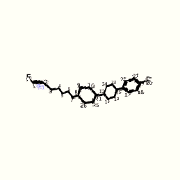 F/C=C/CCCCCC1CCC(C2CCC(c3ccc(F)cc3)CC2)CC1